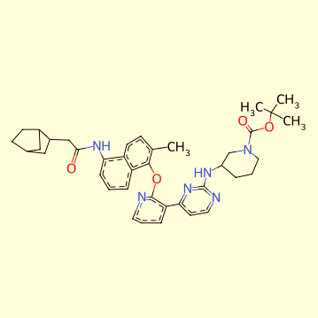 Cc1ccc2c(NC(=O)CC3CC4CCC3C4)cccc2c1Oc1ncccc1-c1ccnc(NC2CCCN(C(=O)OC(C)(C)C)C2)n1